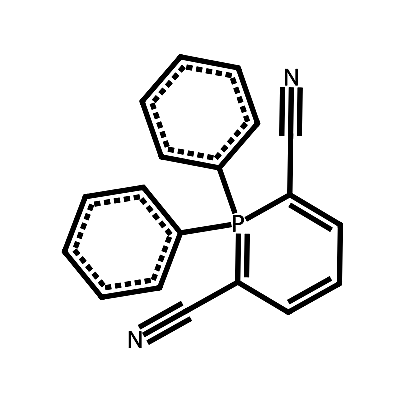 N#CC1=CC=CC(C#N)=P1(c1ccccc1)c1ccccc1